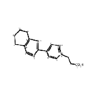 O=C(O)CC[n+]1ccc(-c2ncc3c(n2)CCCC3)cn1